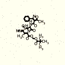 CC1=C(C(=O)OCOC(=O)C(C)(C)C)N2C(=O)C(NC(=O)c3c(-c4ccccc4)noc3C)[C@H]2[S+]([O-])C1=[N+]=[N-]